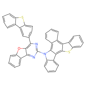 c1ccc2c(c1)oc1c(-c3ccc4sc5ccccc5c4c3)nc(-n3c4ccccc4c4c5sc6ccccc6c5c5ccccc5c43)nc12